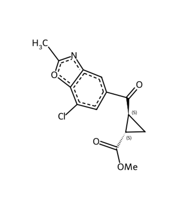 COC(=O)[C@H]1C[C@@H]1C(=O)c1cc(Cl)c2oc(C)nc2c1